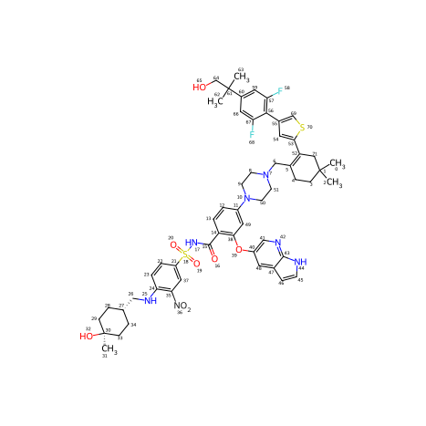 CC1(C)CCC(CN2CCN(c3ccc(C(=O)NS(=O)(=O)c4ccc(NC[C@H]5CC[C@](C)(O)CC5)c([N+](=O)[O-])c4)c(Oc4cnc5[nH]ccc5c4)c3)CC2)=C(c2cc(-c3c(F)cc(C(C)(C)CO)cc3F)cs2)C1